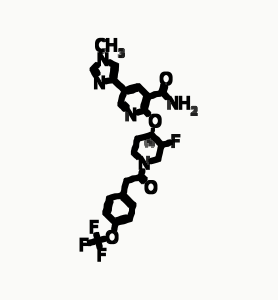 Cn1cnc(-c2cnc(O[C@H]3CCN(C(=O)Cc4ccc(OC(F)(F)F)cc4)CC3F)c(C(N)=O)c2)c1